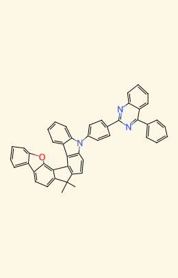 CC1(C)c2ccc3c(oc4ccccc43)c2-c2c1ccc1c2c2ccccc2n1-c1ccc(-c2nc(-c3ccccc3)c3ccccc3n2)cc1